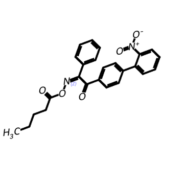 CCCCC(=O)O/N=C(\C(=O)c1ccc(-c2ccccc2[N+](=O)[O-])cc1)c1ccccc1